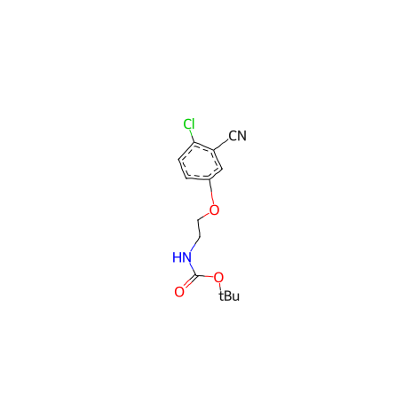 CC(C)(C)OC(=O)NCCOc1ccc(Cl)c(C#N)c1